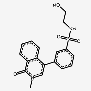 Cn1cc(-c2cccc(S(=O)(=O)NCCO)c2)c2ccccc2c1=O